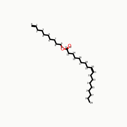 C=CCCCCCCCCOC(=O)CCCCCCC/C=C\CCCCCCCC